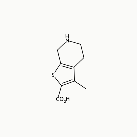 Cc1c(C(=O)O)sc2c1CCNC2